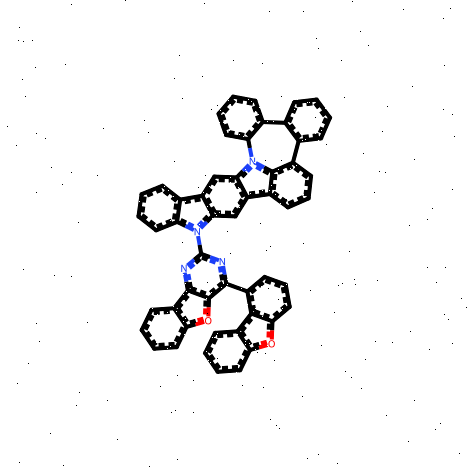 c1ccc2c(c1)-c1ccccc1-n1c3cc4c5ccccc5n(-c5nc(-c6cccc7oc8ccccc8c67)c6oc7ccccc7c6n5)c4cc3c3cccc-2c31